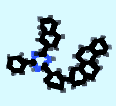 c1ccc(-c2nc(-c3cccc(-c4ccc5ccc6c7ccccc7ccc6c5c4)c3)nc(-c3ccc4ccccc4c3)n2)cc1